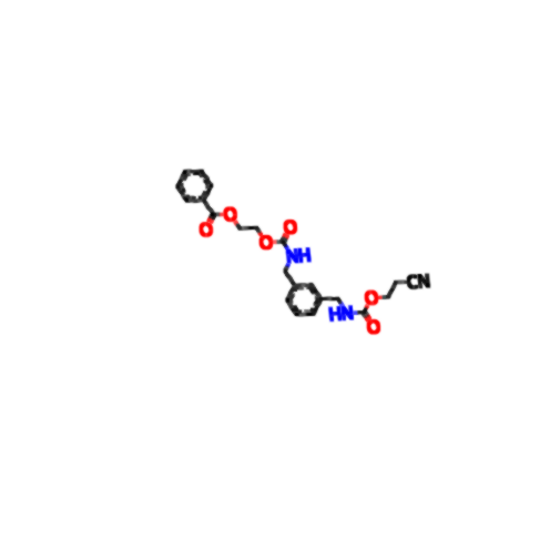 N#CCCOC(=O)NCc1cccc(CNC(=O)OCCOC(=O)c2ccccc2)c1